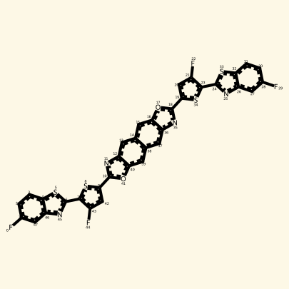 Fc1ccc2sc(-c3sc(-c4nc5cc6cc7oc(-c8cc(F)c(-c9nc%10cc(F)ccc%10s9)s8)nc7cc6cc5o4)cc3F)nc2c1